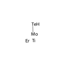 [Er].[Mo][TeH].[Ti]